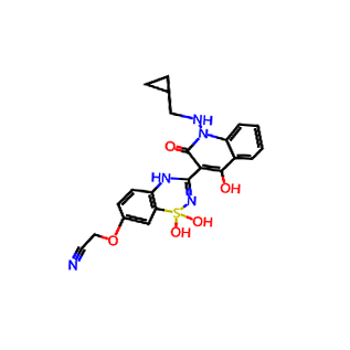 N#CCOc1ccc2c(c1)S(O)(O)N=C(c1c(O)c3ccccc3n(NCC3CC3)c1=O)N2